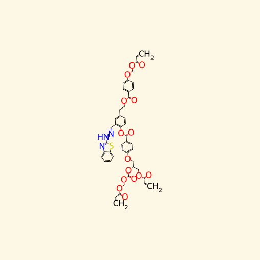 C=CC(=O)OCOC(=O)OC(COC(=O)C=C)COc1ccc(C(=O)Oc2ccc(CCOC(=O)c3ccc(OCOC(=O)C=C)cc3)cc2/C=N/Nc2nc3ccccc3s2)cc1